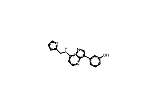 Oc1cccc(-c2cnn3c(NCc4cccs4)ccnc23)c1